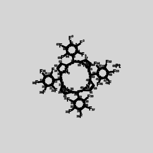 Fc1c(F)c(F)c(-c2c3nc(c(-c4c(F)c(F)c(F)c(F)c4F)c4ccc([nH]4)c(-c4c(F)c(F)c(F)c(F)c4F)c4nc(c(-c5c(F)c(F)c(F)c(F)c5F)c5ccc2[nH]5)C=C4)C=C3)c(F)c1F.[Pt]